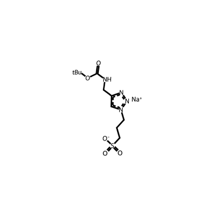 CC(C)(C)OC(=O)NCc1cn(CCCS(=O)(=O)[O-])nn1.[Na+]